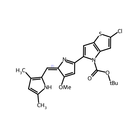 COC1=CC(c2cc3sc(Cl)cc3n2C(=O)OC(C)(C)C)=N/C1=C/c1[nH]c(C)cc1C